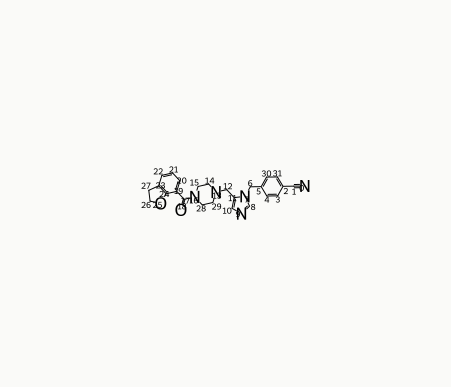 N#Cc1ccc(Cn2cncc2CN2CCN(C(=O)c3cccc4c3OCC4)CC2)cc1